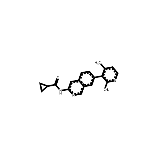 Cc1ccnc(C)c1-c1ccc2cc(NC(=O)C3CC3)ncc2c1